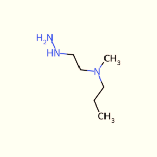 CCCN(C)CCNN